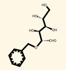 O=C[C@H](OCc1ccccc1)[C@@H](O)[C@H](O)[C@H](O)CO